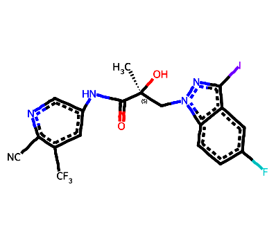 C[C@](O)(Cn1nc(I)c2cc(F)ccc21)C(=O)Nc1cnc(C#N)c(C(F)(F)F)c1